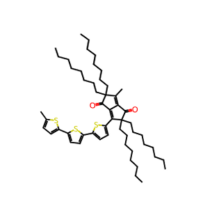 CCCCCCCCC1(CCCCCCCC)C(=O)C2=C(c3ccc(-c4ccc(-c5ccc(C)s5)s4)s3)C(CCCCCCCC)(CCCCCCCC)C(=O)C2=C1C